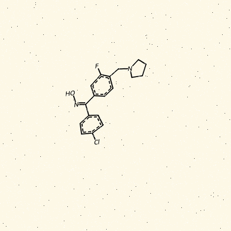 ON=C(c1ccc(Cl)cc1)c1ccc(CN2CCCC2)c(F)c1